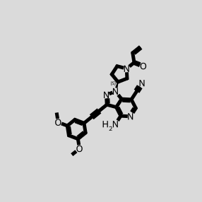 C=CC(=O)N1CC[C@H](n2nc(C#Cc3cc(OC)cc(OC)c3)c3c(N)ncc(C#N)c32)C1